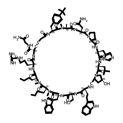 CCCC[C@H]1C(=O)N(C)[C@@H](CCCC)C(=O)N[C@@H](CCCNC(=N)N)C(=O)N[C@H](C(=O)NCC(N)=O)CSCC(=O)N[C@@H](Cc2ccc(C(C)(C)C)cc2)C(=O)N(C)[C@@H](C)C(=O)N[C@@H](CC(N)=O)C(=O)N2CCC[C@H]2C(=O)N[C@@H](Cc2cnc[nH]2)C(=O)N[C@@H](CC(C)C)C(=O)N2C[C@H](O)CC2CN[C@@H](CCc2c[nH]c3ccccc23)C(=O)N[C@@H](CO)C(=O)N[C@@H](Cc2c[nH]c3ccccc23)C(=O)N1C